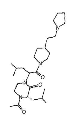 CC(=O)N1CCN(C(CC(C)C)C(=O)N2CCC(CCN3CCCC3)CC2)C(=O)[C@@H]1CC(C)C